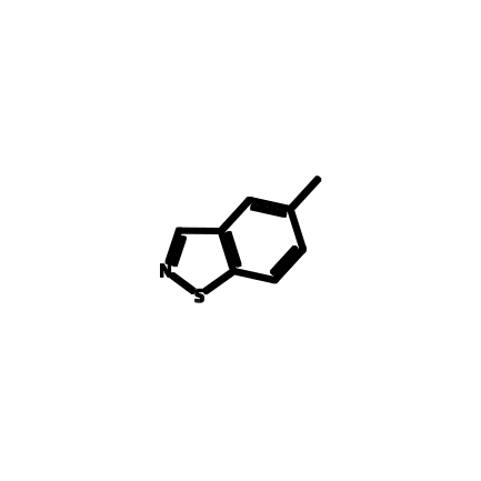 Cc1ccc2sncc2c1